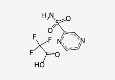 NS(=O)(=O)c1cnccn1.O=C(O)C(F)(F)F